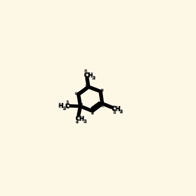 CC1=CC(C)(C)CC(C)C1